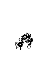 C[C@H]1Cc2noc(N3CCC(CC=O)C3=O)c2CN1C(=O)Nc1cc(F)c(F)c(F)c1